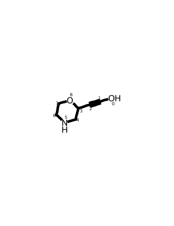 OC#CC1CNCCO1